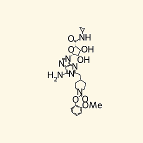 COc1ccccc1OC(=O)N1CCC(Cc2nc(N)c3ncn([C@@H]4O[C@H](C(=O)NC5CC5)C(O)C4O)c3n2)CC1